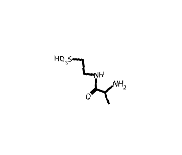 CC(N)C(=O)NCCS(=O)(=O)O